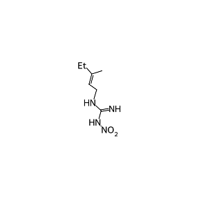 CC/C(C)=C/CNC(=N)N[N+](=O)[O-]